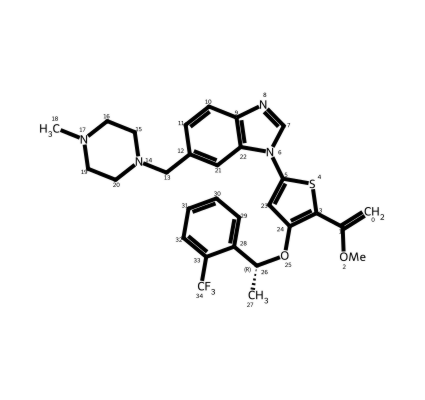 C=C(OC)c1sc(-n2cnc3ccc(CN4CCN(C)CC4)cc32)cc1O[C@H](C)c1ccccc1C(F)(F)F